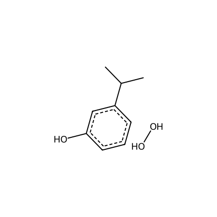 CC(C)c1cccc(O)c1.OO